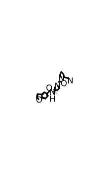 N#CC1CCCN1C(=O)CN1CC[C@H](NC(=O)c2ccc3occc3c2)C1